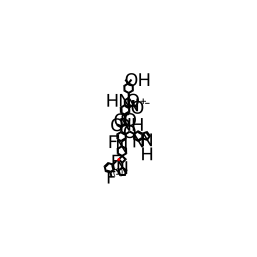 CC1(O)CCC(CNc2ccc(S(=O)(=O)NC(=O)c3cc(F)c(N4CCC5(CC4)CC(N4CCC[C@H]4c4c(F)cccc4F)C5)cc3Oc3cnc4[nH]ccc4c3)cc2[N+](=O)[O-])CC1